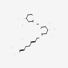 CC(C)=CCC/C(C)=C/COC1O[C@H](COC2OC[C@@H](O)[C@H](O)[C@H]2O)[C@@H](O)[C@H](O)[C@H]1O